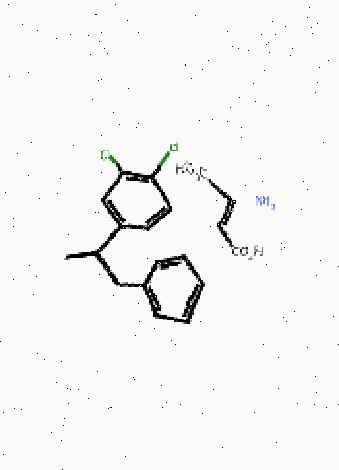 CC(Cc1ccccc1)c1ccc(Cl)c(Cl)c1.N.O=C(O)C=CC(=O)O